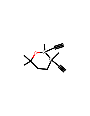 C#C[Si]1(C)CCC(C)(C)O[Si]1(C)C#C